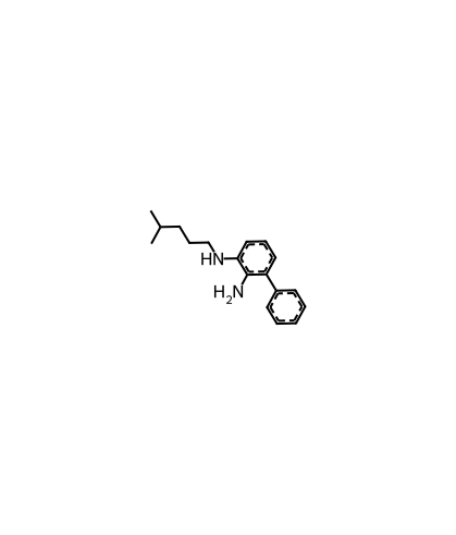 CC(C)CCCNc1cccc(-c2ccccc2)c1N